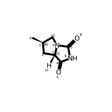 C[C@@H]1C[C@H]2C(=O)NC(=O)N2C1